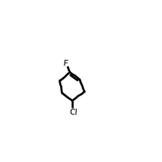 FC1=CCC(Cl)CC1